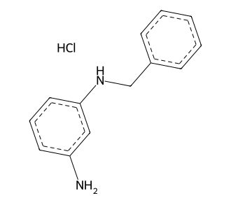 Cl.Nc1cccc(NCc2ccccc2)c1